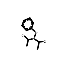 CC(Cl)N([N]c1ccccc1)C(C)Cl